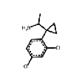 CC(N)C1(c2ccc(Cl)cc2Cl)CC1